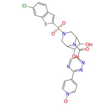 O=C(c1cnc(-c2cc[n+]([O-])cc2)nn1)N1C2CN(S(=O)(=O)c3cc4ccc(Cl)cc4s3)CC1C(O)C2O